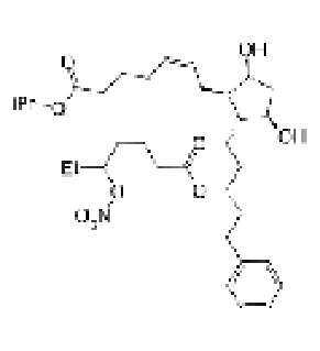 CCC(CCCC(=O)O[C@@H](CCc1ccccc1)CC[C@@H]1[C@@H](C/C=C\CCCC(=O)OC(C)C)[C@@H](O)C[C@H]1O)O[N+](=O)[O-]